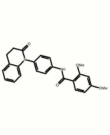 COc1ccc(C(=O)Nc2ccc(N3C(=O)CCc4ccccc43)cc2)c(OC)c1